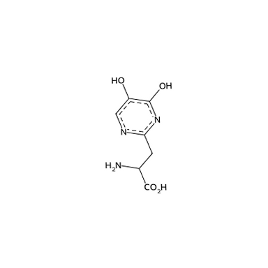 NC(Cc1ncc(O)c(O)n1)C(=O)O